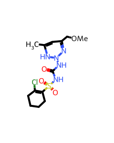 COCC1=NN(NC(=O)NS(=O)(=O)C2=C(Cl)CCCC2)NC(C)=C1